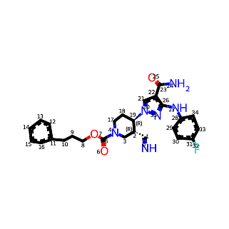 N=C[C@@H]1CN(C(=O)OCCCc2ccccc2)CC[C@H]1n1cc(C(N)=O)c(Nc2ccc(F)cc2)n1